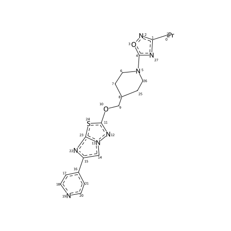 CC(C)c1noc(N2CCC(COc3nn4cc(-c5ccncc5)nc4s3)CC2)n1